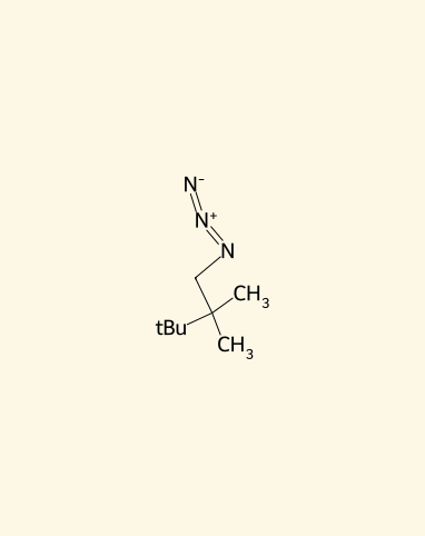 CC(C)(C)C(C)(C)CN=[N+]=[N-]